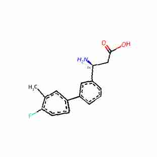 Cc1cc(-c2cccc([C@@H](N)CC(=O)O)c2)ccc1F